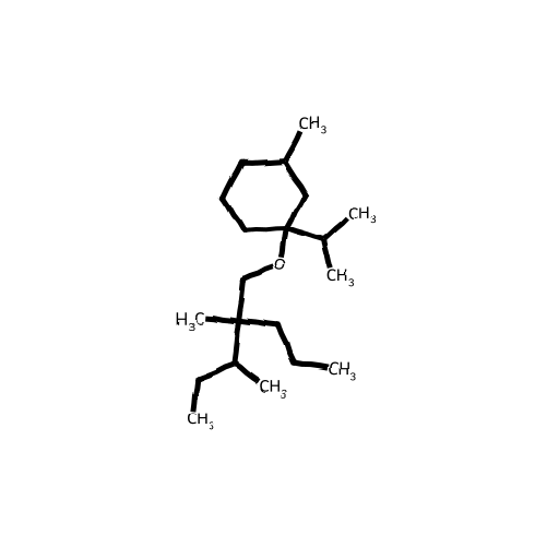 CCCC(C)(COC1(C(C)C)CCCC(C)C1)[C](C)CC